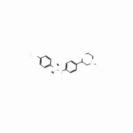 CCc1ccc(S(=O)(=O)Nc2ccc(C3CN(CC)CCO3)cc2)cc1